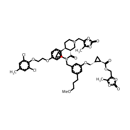 COCCCc1cc(CN(C(=O)[C@H]2CN(Cc3oc(=O)oc3C)CC[C@@H]2c2ccc(OCCOc3c(Cl)cc(C)cc3Cl)cc2)C2CC2)cc(OC[C@@H]2C[C@H]2C(=O)OCc2oc(=O)oc2C)c1